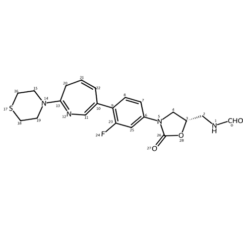 O=CNC[C@H]1CN(c2ccc(C3=CN=C(N4CCSCC4)CC=C3)c(F)c2)C(=O)O1